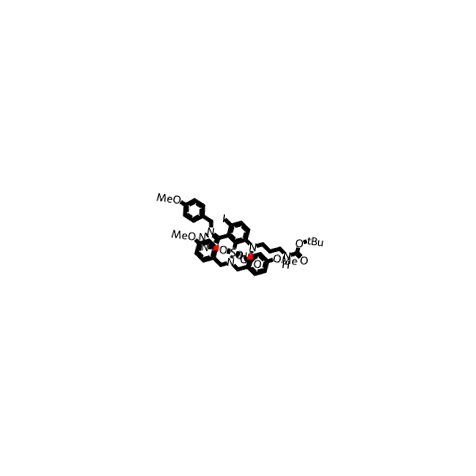 COc1ccc(CN(Cc2ccc(OC)cc2)S(=O)(=O)c2c(N(CCCNC(=O)OC(C)(C)C)[SH](=O)=O)ccc(I)c2-c2nnnn2Cc2ccc(OC)cc2)cc1